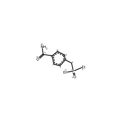 CCP(=O)(CC)Cc1ccc(C(N)=O)cc1